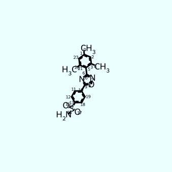 Cc1cc(C)c(-c2noc(-c3ccc(S(N)(=O)=O)cc3)n2)c(C)c1